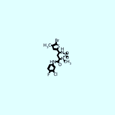 Cc1cc(C2CC(C(=O)Nc3ccc(F)c(Cl)c3)N(C)S(=O)(=O)N2)sc1Br